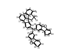 Cc1ccc(C)c2c1C(C)(C)CC21c2ccccc2-c2ccc(N(c3ccc4oc5ccccc5c4c3)c3ccc4oc5ccccc5c4c3)cc21